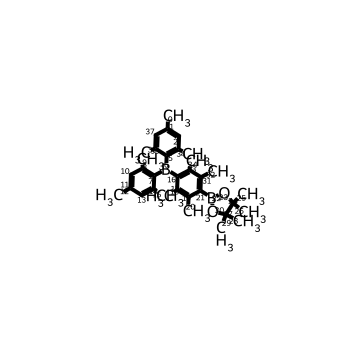 Cc1cc(C)c(B(c2c(C)cc(C)cc2C)c2c(C)c(C)c(B3OC(C)(C)C(C)(C)O3)c(C)c2C)c(C)c1